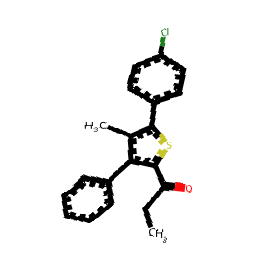 CCC(=O)c1sc(-c2ccc(Cl)cc2)c(C)c1-c1ccccc1